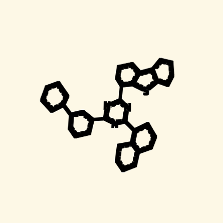 c1ccc(-c2cccc(-c3nc(-c4cccc5ccccc45)nc(-c4cccc5c4sc4ccccc45)n3)c2)cc1